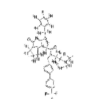 [2H]c1c([2H])c(C([2H])([2H])Sc2nc(=O)c3c(n2C([2H])([2H])C(=O)N(Cc2ccc(-c4ccc(C(F)(F)F)cc4)cc2)C([2H])([2H])C([2H])([2H])N(C([2H])([2H])C)C([2H])([2H])C)C([2H])([2H])C([2H])(C)C3([2H])[2H])c([2H])c([2H])c1F